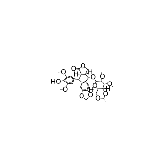 COc1cc([C@@H]2c3cc4c(cc3[C@@H](OC3O[C@@H]5CO[C@@H](C)O[C@H]5[C@H](OC)[C@H]3OC)[C@H]3COC(=O)[C@H]23)OCO4)cc(OC)c1O